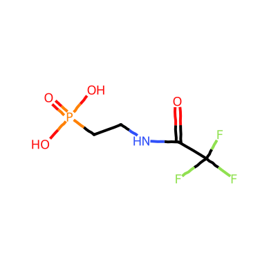 O=C(NCCP(=O)(O)O)C(F)(F)F